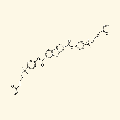 C=CC(=O)COCC[Si](C)(C)c1ccc(OC(=O)c2ccc3c(c2)Cc2cc(C(=O)Oc4ccc([Si](C)(C)CCCOC(=O)C=C)cc4)ccc2-3)cc1